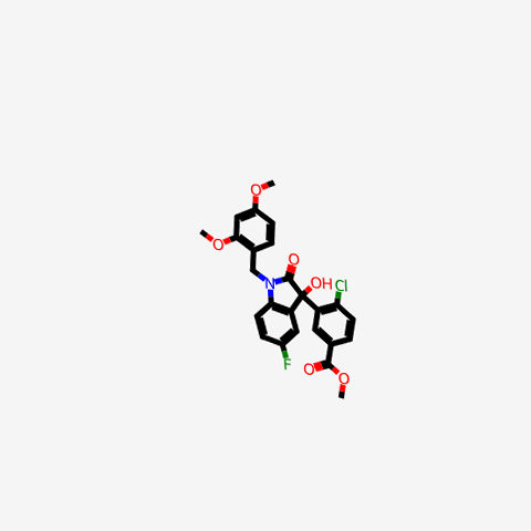 COC(=O)c1ccc(Cl)c(C2(O)C(=O)N(Cc3ccc(OC)cc3OC)c3ccc(F)cc32)c1